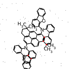 CC(C)c1cc(N(c2ccccc2-c2ccccc2)c2cccc3c2oc2ccccc23)c2cc3c4c(cc(N(c5ccccc5-c5ccccc5)c5cccc6c5oc5ccccc56)c5ccc1c2c54)CCC3(C)C